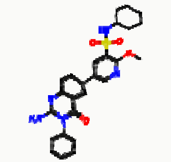 COc1ncc(-c2ccc3nc(N)n(-c4ccccc4)c(=O)c3c2)cc1S(=O)(=O)NC1CCCCC1